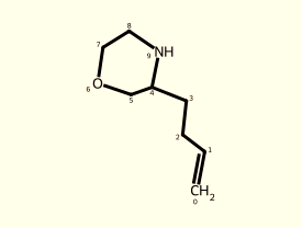 C=CCCC1COCCN1